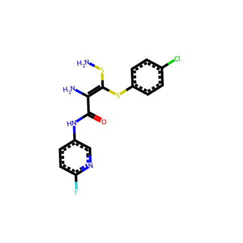 NS/C(Sc1ccc(Cl)cc1)=C(\N)C(=O)Nc1ccc(F)nc1